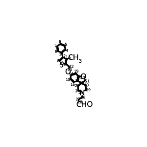 Cc1c(-c2ccccc2)csc1COc1ccc2c(c1)OCC21CCN(CCC=O)CC1